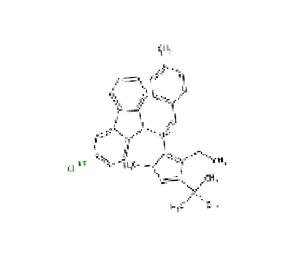 CCC1=[C](/[Zr+2](=[CH]/c2ccc(C)cc2)[CH]2c3ccccc3-c3ccccc32)C(C)C=C1C(C)(C)C.[Cl-].[Cl-]